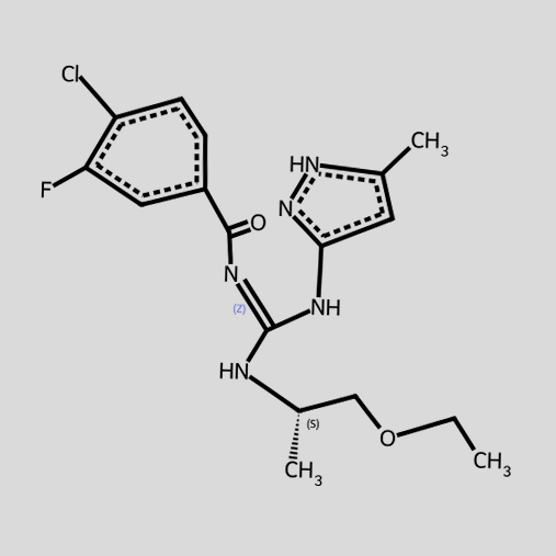 CCOC[C@H](C)N/C(=N/C(=O)c1ccc(Cl)c(F)c1)Nc1cc(C)[nH]n1